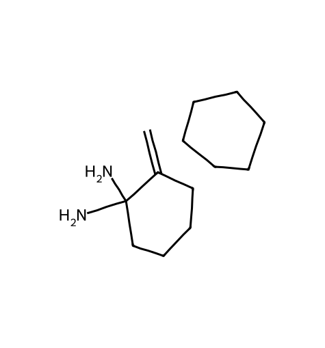 C1CCCCC1.C=C1CCCCC1(N)N